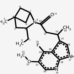 CCC1CC2(C)CC(C2)N1C(=O)CC(C)c1c[nH]c2ncc(OC)c(F)c12